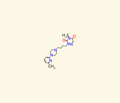 Cc1cccc(N2CCN(CCCCn3ncc(=O)n(C)c3=O)CC2)n1